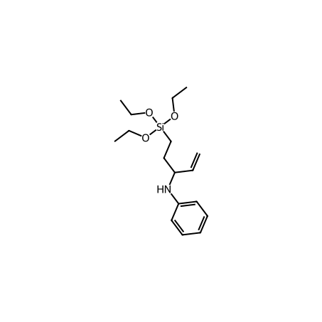 C=CC(CC[Si](OCC)(OCC)OCC)Nc1ccccc1